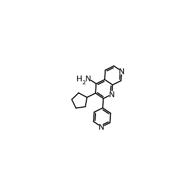 Nc1c(C2CCCC2)c(-c2ccncc2)nc2cnccc12